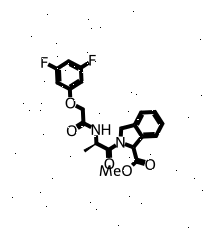 COC(=O)C1c2ccccc2CN1C(=O)[C@@H](C)NC(=O)COc1cc(F)cc(F)c1